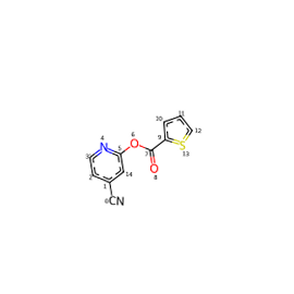 N#Cc1c[c]nc(OC(=O)c2cccs2)c1